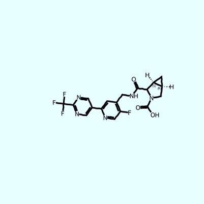 O=C(NCc1cc(-c2cnc(C(F)(F)F)nc2)ncc1F)C1[C@H]2C[C@H]2CN1C(=O)O